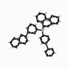 c1ccc(-c2ccc(N(c3cccc(-c4ccc5ccccc5c4)c3)c3cc4ccccc4c4ccccc34)cc2)cc1